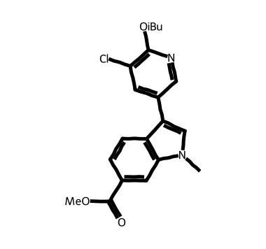 COC(=O)c1ccc2c(-c3cnc(OCC(C)C)c(Cl)c3)cn(C)c2c1